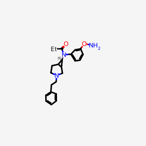 CCC(=O)N(c1cccc(ON)c1)[C@H]1C2CCN(CCc3ccccc3)CC21